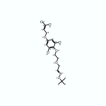 CC(C)(C)ON=CCOCCOc1c(Cl)cc(OCC=C(Cl)Cl)cc1Cl